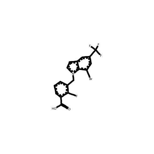 O=C(O)c1cccc(Cn2ccc3cc(C(F)(F)F)cc(Br)c32)c1F